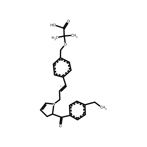 CCc1ccc(C(=O)C2CC=CN2C/C=C/c2ccc(COC(C)(C)C(=O)O)cc2)cc1